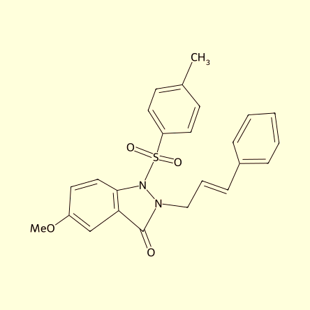 COc1ccc2c(c1)c(=O)n(CC=Cc1ccccc1)n2S(=O)(=O)c1ccc(C)cc1